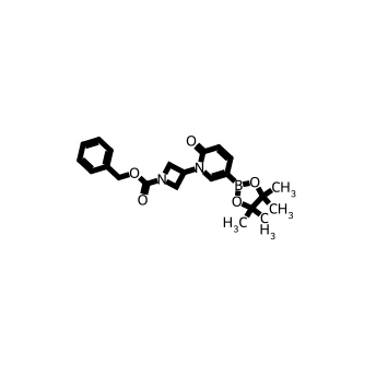 CC1(C)OB(c2ccc(=O)n(C3CN(C(=O)OCc4ccccc4)C3)c2)OC1(C)C